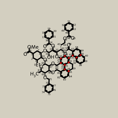 CCC1CC(C(=O)OC)C[C@@H](O[C@H](O)/C(OC(=O)c2ccccc2)=C(\O[C@@H](CC2CCCCC2)C(=O)OCc2ccccc2)[C@H](CCOC(=O)c2ccccc2)OC(=O)c2ccccc2)C1O[C@@H]1OC(C)[C@@H](OCc2ccccc2)C(OCc2ccccc2)C1OCc1ccccc1